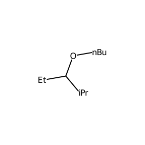 [CH2]CC(OCCCC)C(C)C